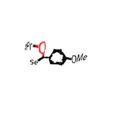 COc1ccc(C(=[Se])OC(C)C)cc1